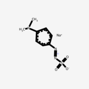 CN(C)c1ccc(/N=N/S(=O)(=O)[O-])cc1.[Na+]